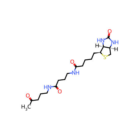 CC(=O)CCCNC(=O)CCCNC(=O)CCCC[C@@H]1SC[C@@H]2NC(=O)N[C@@H]21